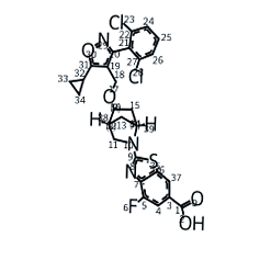 O=C(O)c1cc(F)c2nc(N3C[C@H]4C[C@@H]3C[C@H]4OCc3c(-c4c(Cl)cccc4Cl)noc3C3CC3)sc2c1